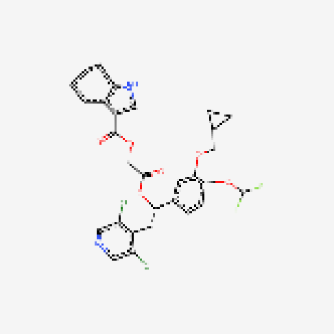 O=C(COC(=O)c1c[nH]c2ccccc12)O[C@@H](Cc1c(Cl)cncc1Cl)c1ccc(OC(F)F)c(OCC2CC2)c1